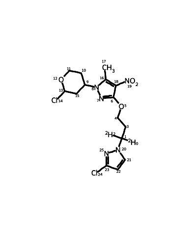 [2H]C([2H])(CCOc1nn(C2CCOC(Cl)C2)c(C)c1[N+](=O)[O-])n1ccc(Cl)n1